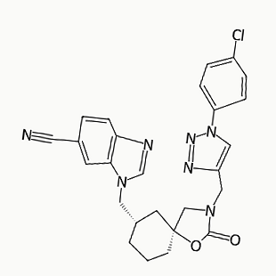 N#Cc1ccc2ncn(C[C@H]3CCC[C@]4(C3)CN(Cc3cn(-c5ccc(Cl)cc5)nn3)C(=O)O4)c2c1